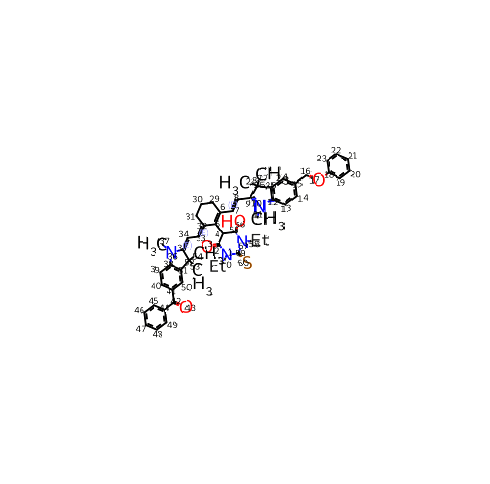 CCN1C(=O)C(C2=C(/C=C/C3=[N+](C)c4ccc(COc5ccccc5)cc4C3(C)C)CCC/C2=C\C=C2\N(C)c3ccc(C(=O)c4ccccc4)cc3C2(C)C)C(O)N(CC)C1=S